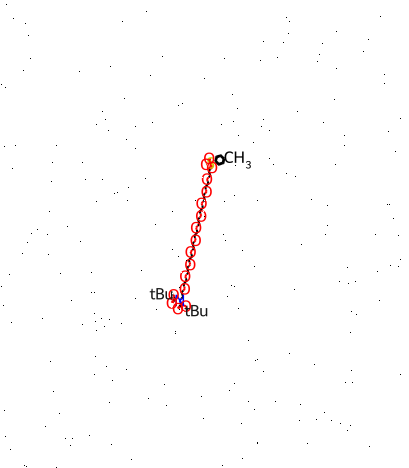 Cc1ccc(S(=O)(=O)OCCOCCOCCOCCOCCOCCOCCOCCOCCOCCOCCN(C(=O)OC(C)(C)C)C(=O)OC(C)(C)C)cc1